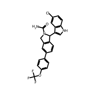 NC(=O)N1Cc2cc(-c3ccc(OC(F)(F)F)cc3)ccc2C1c1c[nH]c2ccc(Cl)cc12